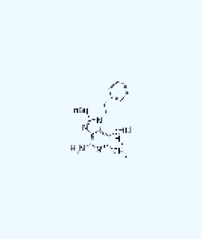 CCCCc1nc2c(N)nc(C)c(C)c2n1CCc1ccccc1.Cl